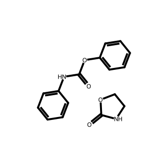 O=C(Nc1ccccc1)Oc1ccccc1.O=C1NCCO1